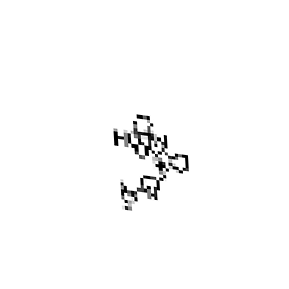 O=c1c2nn(Cc3ccc(-c4cscn4)nc3)c3ccccc3c-2nn1[C@@H]1CCCC[C@H]1O